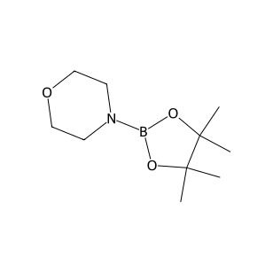 CC1(C)OB(N2CCOCC2)OC1(C)C